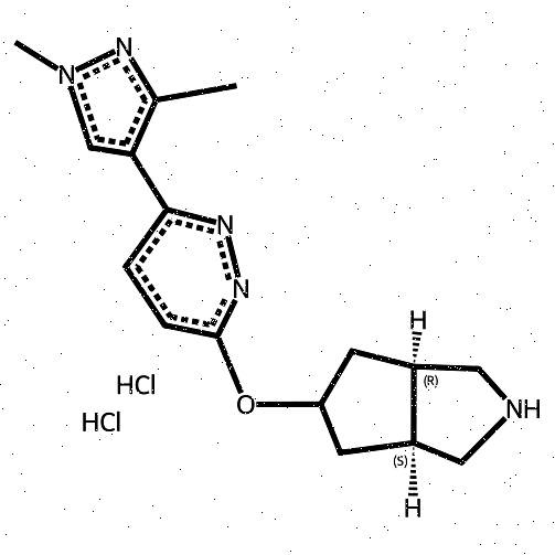 Cc1nn(C)cc1-c1ccc(OC2C[C@H]3CNC[C@H]3C2)nn1.Cl.Cl